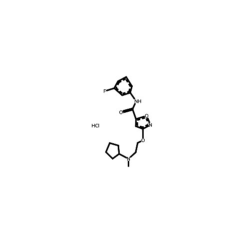 CN(CCOc1cc(C(=O)Nc2cccc(F)c2)on1)C1CCCC1.Cl